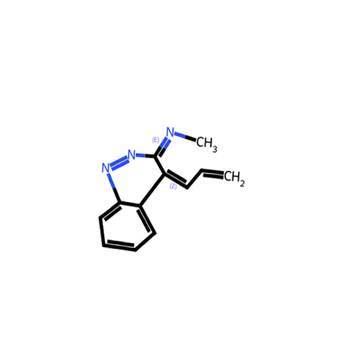 C=C/C=C1\C(=N/C)N=Nc2ccccc21